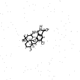 C[C@H]1CC[C@H]2C(C)(C)CC(N)C[C@]23Oc2c(c(Cl)cc4c2CNC4=O)C[C@]13C